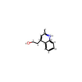 Cc1cc(CC[O])c2ccccc2n1